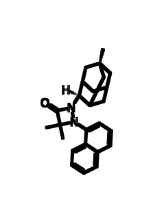 CC1(C)C(=O)N([C@H]2C3CC4CC2C[C@@](C)(C4)C3)N1c1cccc2ccccc12